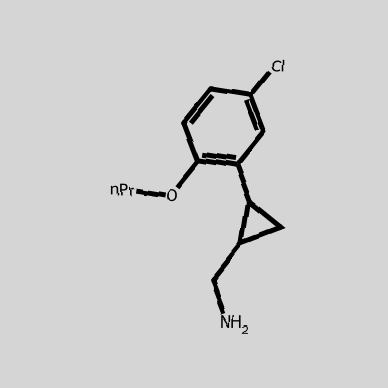 CCCOc1ccc(Cl)cc1C1CC1CN